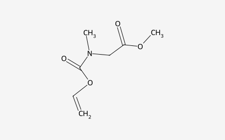 C=COC(=O)N(C)CC(=O)OC